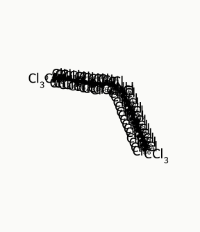 ClC(Cl)(Cl)C(Cl)(Cl)C(Cl)(Cl)C(Cl)(Cl)C(Cl)(Cl)C(Cl)(Cl)C(Cl)(Cl)C(Cl)(Cl)C(Cl)(Cl)C(Cl)(Cl)C(Cl)(Cl)C(Cl)(Cl)C(Cl)(Cl)C(Cl)(Cl)C(Cl)(Cl)NC(Cl)(Cl)C(Cl)(Cl)C(Cl)(Cl)C(Cl)(Cl)C(Cl)(Cl)C(Cl)(Cl)C(Cl)(Cl)C(Cl)(Cl)C(Cl)(Cl)C(Cl)(Cl)C(Cl)(Cl)C(Cl)(Cl)C(Cl)(Cl)C(Cl)(Cl)C(Cl)(Cl)Cl